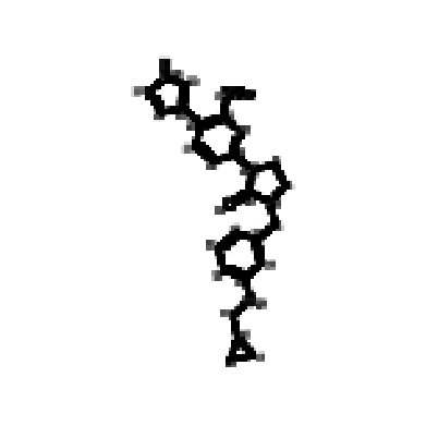 CNc1nc(N2CCN(Cc3cccc(OCC4CC4)c3)C2=O)ccc1-c1cn[nH]c1